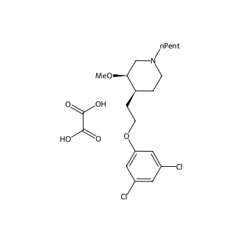 CCCCCN1CC[C@@H](CCOc2cc(Cl)cc(Cl)c2)[C@@H](OC)C1.O=C(O)C(=O)O